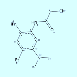 CCc1cc(C(C)C)c(NC(=O)CCl)cc1N(C)C